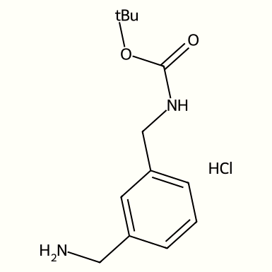 CC(C)(C)OC(=O)NCc1cccc(CN)c1.Cl